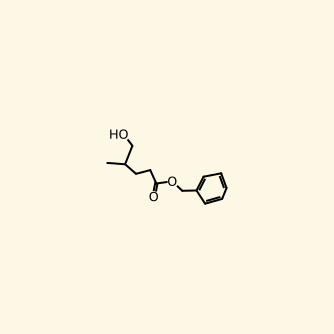 CC(CO)CCC(=O)OCc1ccccc1